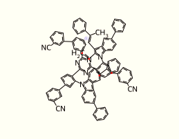 C=Cc1c(/C=C(\C)c2ccccc2)c2cc(-c3ccccc3)ccc2n1-c1cc(-c2cccc(C#N)c2)ccc1-c1nc(-c2cccc(-c3cccc(C#N)c3)c2)nc(-c2ccc(-c3cccc(C#N)c3)cc2-n2c3ccc(-c4ccccc4)cc3c3cc(-c4ccccc4)ccc32)n1